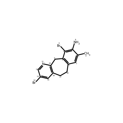 Cc1cc2c(c(Br)c1N)Cc1ncc(Br)cc1CC2